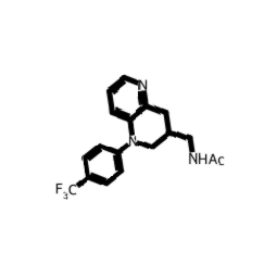 CC(=O)NCC1Cc2ncccc2N(c2ccc(C(F)(F)F)cc2)C1